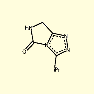 CC(C)c1nnc2n1C(=O)NC2